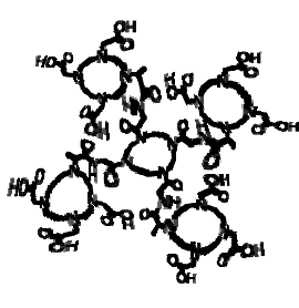 CC(C(=O)NCC(=O)N1CCN(C(=O)CNC(=O)C(C)N2CCN(CC(=O)O)CCN(CC(=O)O)CCN(CC(=O)O)CC2)CCN(C(=O)CNC(=O)C(C)N2CCN(CC(=O)O)CCN(CC(=O)O)CCN(CC(=O)O)CC2)CCN(C(=O)CNC(=O)C(C)N2CCN(CC(=O)O)CCN(CC(=O)O)CCN(CC(=O)O)CC2)CC1)N1CCN(CC(=O)O)CCN(CC(=O)O)CCN(CC(=O)O)CC1